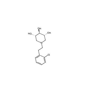 O[C@H]1[C@H](O)CN(CCc2ccccc2Cl)C[C@@H]1O